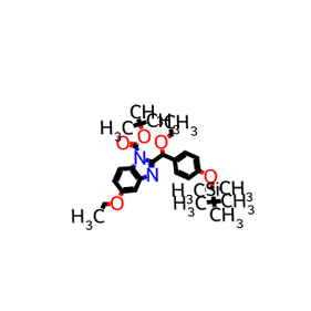 CCOc1ccc2c(c1)nc(C(OCC)c1ccc(O[Si](C)(C)C(C)(C)C)cc1)n2C(=O)OC(C)(C)C